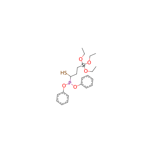 CCO[Si](CCC(S)P(Oc1ccccc1)Oc1ccccc1)(OCC)OCC